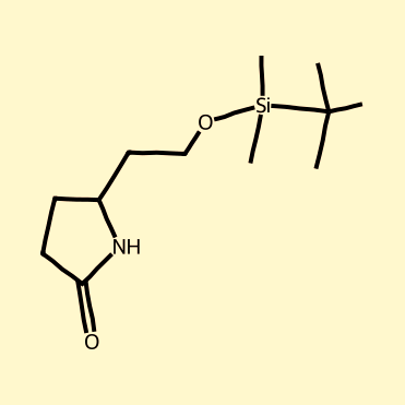 CC(C)(C)[Si](C)(C)OCCC1CCC(=O)N1